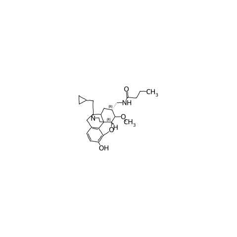 CCCC(=O)NC[C@H]1CC2C3Cc4ccc(O)c5c4C2(CCN3CC2CC2)[C@@H](O5)C1OC